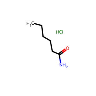 CCCCCC(N)=O.Cl